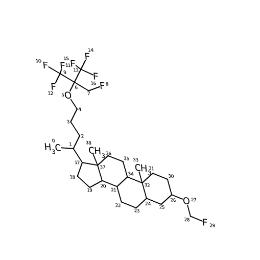 CC(CCCOC(CF)(C(F)(F)F)C(F)(F)F)C1CCC2C3CCC4CC(OCF)CCC4(C)C3CCC12C